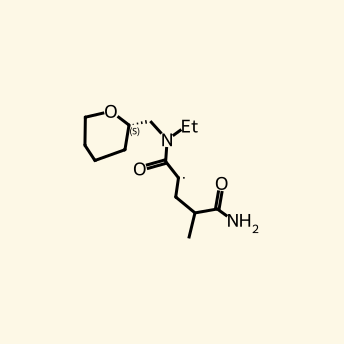 CCN(C[C@@H]1CCCCO1)C(=O)[CH]CC(C)C(N)=O